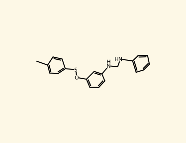 Cc1ccc(SOc2cccc(NCNc3ccccc3)c2)cc1